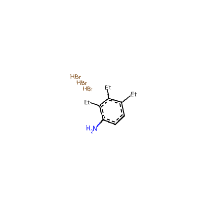 Br.Br.Br.CCc1ccc(N)c(CC)c1CC